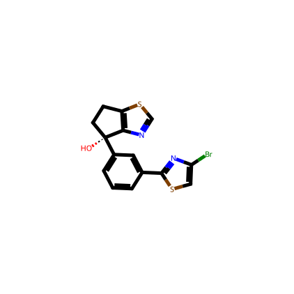 O[C@]1(c2cccc(-c3nc(Br)cs3)c2)CCc2scnc21